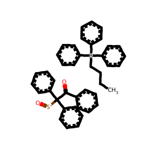 CCCC[B-](c1ccccc1)(c1ccccc1)c1ccccc1.O=[S+]C(C(=O)c1ccccc1)(c1ccccc1)c1ccccc1